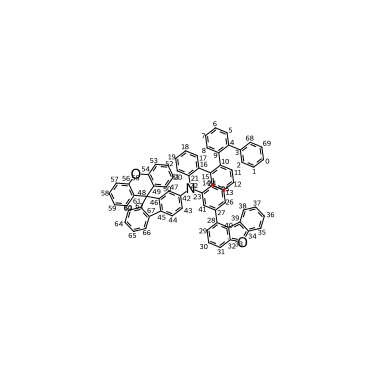 c1ccc(-c2ccccc2-c2ccccc2-c2ccccc2N(c2cccc(-c3cccc4oc5ccccc5c34)c2)c2ccc3c(c2)C2(c4ccccc4Oc4ccccc42)c2ccccc2-3)cc1